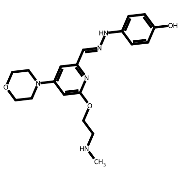 CNCCOc1cc(N2CCOCC2)cc(/C=N/Nc2ccc(O)cc2)n1